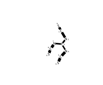 S=C=NP(N=C=S)N=C=S